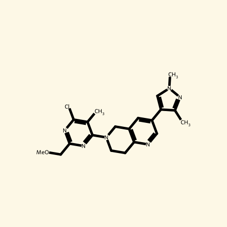 COCc1nc(Cl)c(C)c(N2CCc3ncc(-c4cn(C)nc4C)cc3C2)n1